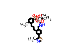 Cc1ccc(S(=O)(=O)O)cc1CCCc1cc(-c2scnc2C)ccc1CNC(=O)OC(C)(C)C